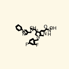 CN(Cc1cnn(-c2ccccc2)c1)CC1CN(Cc2ccc(F)cc2F)c2cnc(C(=O)NO)cc21